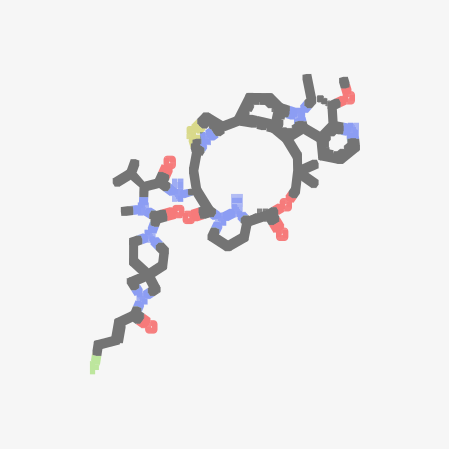 CCn1c(-c2cccnc2[C@H](C)OC)c2c3cc(ccc31)-c1csc(n1)C[C@H](NC(=O)[C@H](C(C)C)N(C)C(=O)N1CCC3(CC1)CN(C(=O)/C=C/CF)C3)C(=O)N1CCC[C@H](N1)C(=O)OCC(C)(C)C2